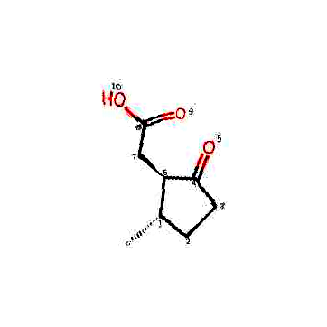 C[C@H]1CCC(=O)[C@@H]1CC(=O)O